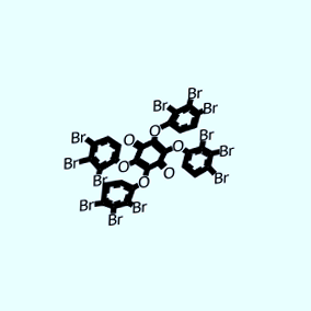 O=C1C(Oc2ccc(Br)c(Br)c2Br)=C(Oc2ccc(Br)c(Br)c2Br)C(=O)C(Oc2ccc(Br)c(Br)c2Br)=C1Oc1ccc(Br)c(Br)c1Br